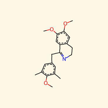 COc1cc2c(cc1OC)C(Cc1cc(C)c(OC)c(C)c1)=NCC2